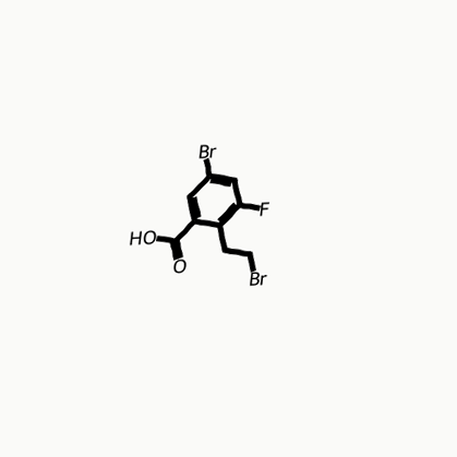 O=C(O)c1cc(Br)cc(F)c1CCBr